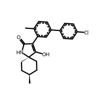 Cc1ccc(-c2ccc(Cl)cc2)cc1C1=C(O)[C@]2(CC[C@H](C)CC2)NC1=O